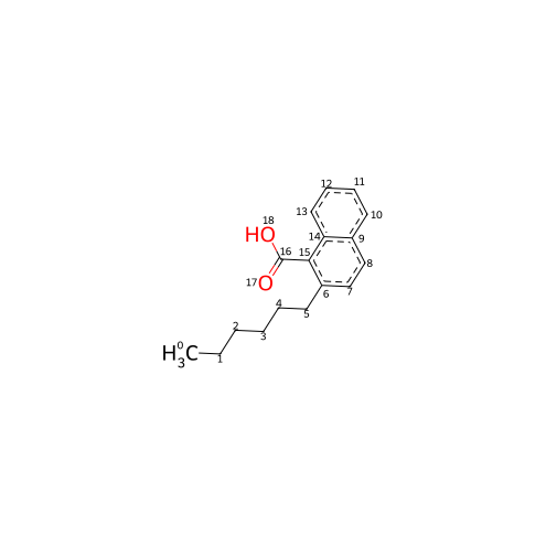 CCCCCCc1ccc2ccccc2c1C(=O)O